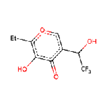 CCc1occ(C(O)C(F)(F)F)c(=O)c1O